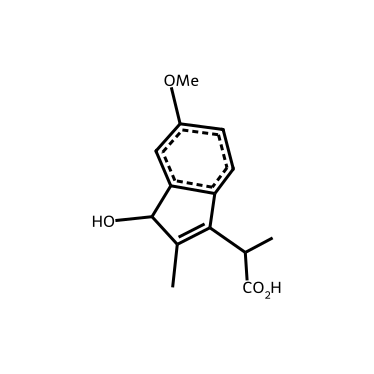 COc1ccc2c(c1)C(O)C(C)=C2C(C)C(=O)O